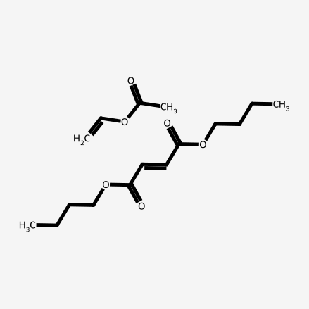 C=COC(C)=O.CCCCOC(=O)/C=C/C(=O)OCCCC